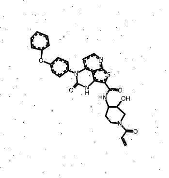 C=CC(=O)N1CCC(NC(=O)c2sc3nccc4c3c2NC(=O)N4c2ccc(Oc3ccccc3)cc2)C(O)C1